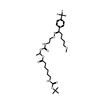 COCCCC/C(=N\OCCNC(=O)OC(C)OC(=O)CCCCCNC(=O)OC(C)(C)C)c1ccc(C(F)(F)F)cc1